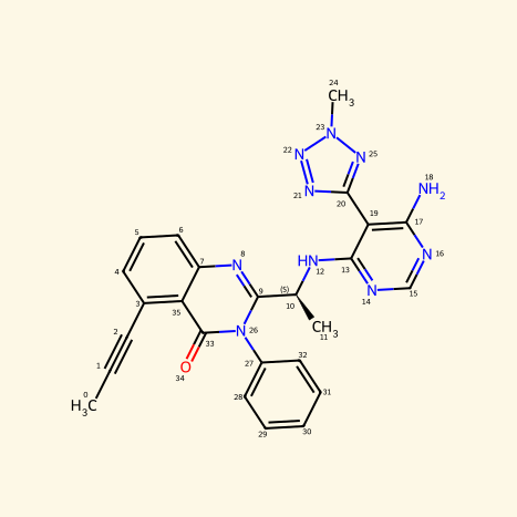 CC#Cc1cccc2nc([C@H](C)Nc3ncnc(N)c3-c3nnn(C)n3)n(-c3ccccc3)c(=O)c12